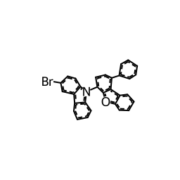 Brc1ccc2c(c1)c1ccccc1n2-c1ccc(-c2ccccc2)c2c1oc1ccccc12